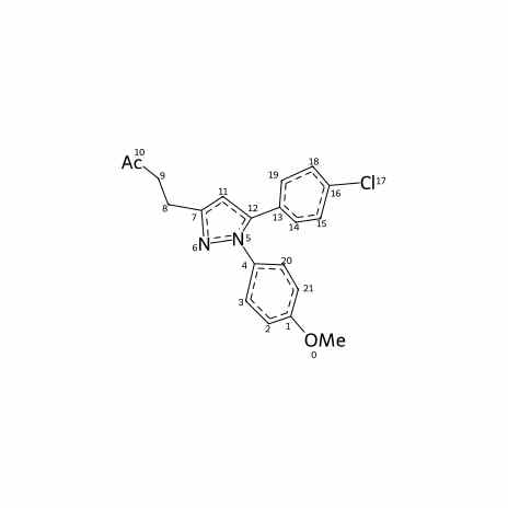 COc1ccc(-n2nc(CCC(C)=O)cc2-c2ccc(Cl)cc2)cc1